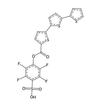 O=C(Oc1c(F)c(F)c(S(=O)(=O)O)c(F)c1F)c1ccc(-c2ccc(-c3cccs3)s2)s1